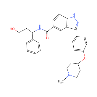 CN1CCC(Oc2ccc(-c3n[nH]c4ccc(C(=O)NC(CCO)c5ccccc5)cc34)cc2)CC1